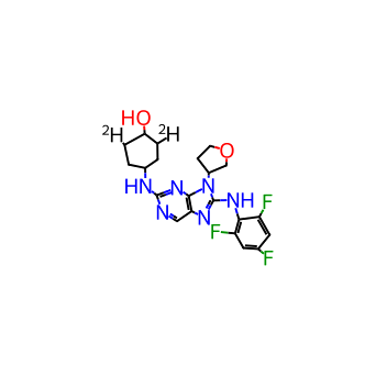 [2H]C1CC(Nc2ncc3nc(Nc4c(F)cc(F)cc4F)n(C4CCOC4)c3n2)CC([2H])C1O